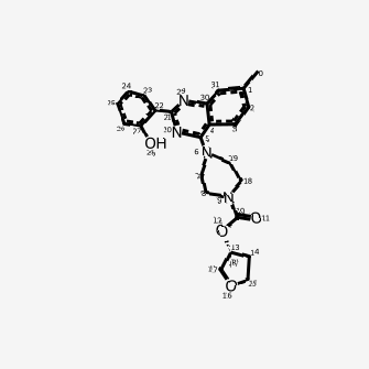 Cc1ccc2c(N3CCN(C(=O)O[C@@H]4CCOC4)CC3)nc(-c3ccccc3O)nc2c1